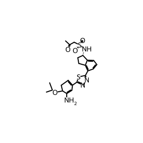 CC(=O)CS(=O)(=O)N[C@H]1CCc2c(-c3nnc(C4=CCC(OC(C)C)C(N)=C4)s3)cccc21